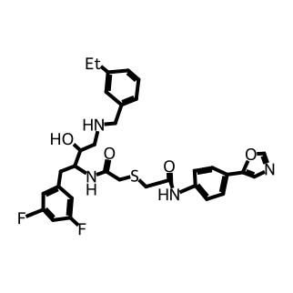 CCc1cccc(CNCC(O)C(Cc2cc(F)cc(F)c2)NC(=O)CSCC(=O)Nc2ccc(-c3cnco3)cc2)c1